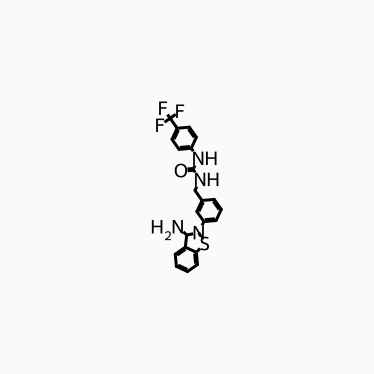 NC1c2ccccc2SN1c1cccc(CNC(=O)Nc2ccc(C(F)(F)F)cc2)c1